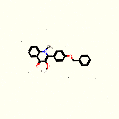 COc1c(-c2ccc(OCc3ccccc3)cc2)n(C)c2ccccc2c1=O